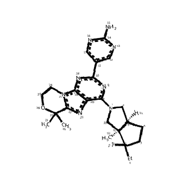 CCC1(F)CC[C@@H]2CN(c3nc(-c4cnc(N)nc4)nc4c3nc3n4CCOC3(C)C)C[C@@]21C